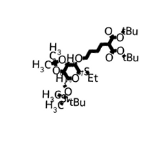 CCS[C@@H]1O[C@H](CO[Si](C)(C)C(C)(C)C)[C@@H]2OC(C)(C)O[C@@H]2[C@H]1OCCCCC(C(=O)OC(C)(C)C)C(=O)OC(C)(C)C